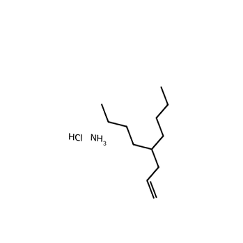 C=CCC(CCCC)CCCC.Cl.N